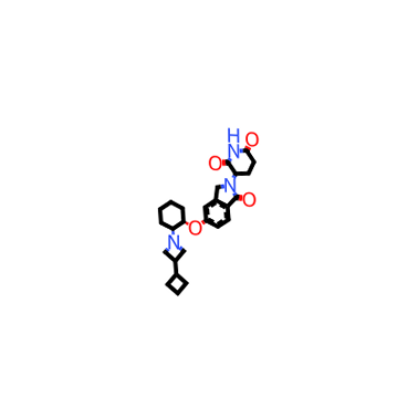 O=C1CCC(N2Cc3cc(O[C@@H]4CCCC[C@@H]4N4CC(C5CCC5)C4)ccc3C2=O)C(=O)N1